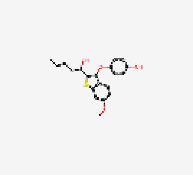 CC=CCC(O)c1sc2cc(OC)ccc2c1Oc1ccc(O)cc1